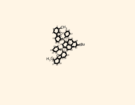 Cc1cccc2c1oc1c(N(c3ccccc3)c3cc(N(c4ccccc4)c4cccc5c4oc4c(C)cccc45)c4ccc5cc(C(C)(C)C)cc6ccc3c4c65)cccc12